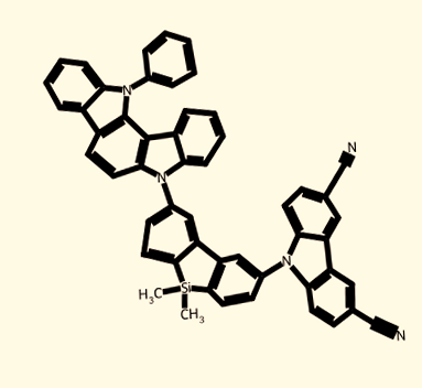 C[Si]1(C)c2ccc(-n3c4ccc(C#N)cc4c4cc(C#N)ccc43)cc2-c2cc(-n3c4ccccc4c4c3ccc3c5ccccc5n(-c5ccccc5)c34)ccc21